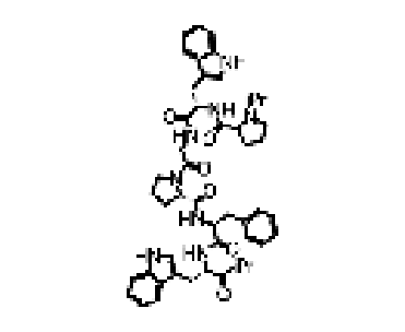 CC(C)C(=O)[C@H](Cc1c[nH]c2ccccc12)NC(=O)[C@H](Cc1ccccc1)NC(=O)[C@@H]1CCCN1C(=O)CNC(=O)[C@H](Cc1c[nH]c2ccccc12)NC(=O)[C@@H]1CCCN1C(C)C